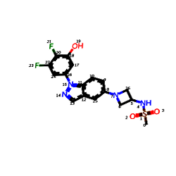 CS(=O)(=O)NC1CN(c2ccc3c(cnn3-c3cc(O)c(F)c(F)c3)c2)C1